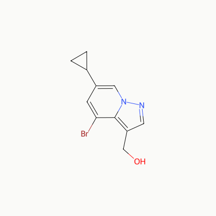 OCc1cnn2cc(C3CC3)cc(Br)c12